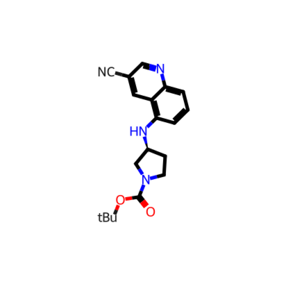 CC(C)(C)OC(=O)N1CC[C@H](Nc2cccc3ncc(C#N)cc23)C1